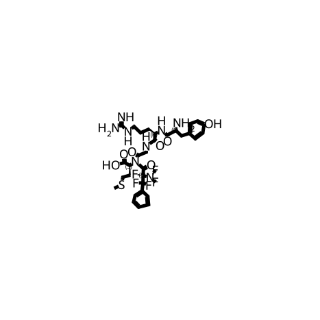 CSCC[C@@H](C(=O)O)N(C(=O)CNC(=O)[C@@H](CCCNC(=N)N)NC(=O)[C@@H](N)Cc1ccc(O)cc1)C(=O)[C@@](F)(N(F)F)C(F)(F)c1ccccc1